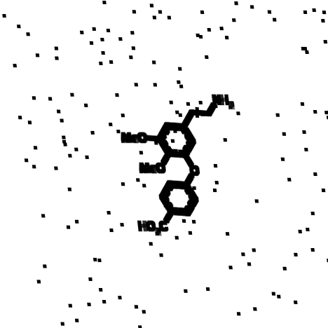 COc1cc(CCN)cc(Oc2ccc(C(=O)O)cc2)c1OC